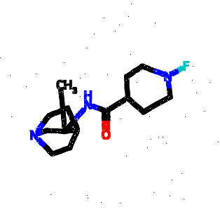 CC1(NC(=O)C2CCN(F)CC2)CN2CCC1CC2